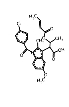 CC=CC(=O)OC(C)C(C(=O)O)c1c(C)n(C(=O)c2ccc(Cl)cc2)c2ccc(OC)cc12